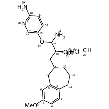 COc1ccc2c(c1)CC(C[C@H](O)C(N)Oc1ccc(N)nc1)CCC2.Cl.Cl.Cl